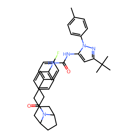 Cc1ccc(-n2nc(C(C)(C)C)cc2NC(=O)Nc2ccc(CC3CC4CCC(C3)N4C(=O)CCc3ccc(F)cc3)cc2)cc1